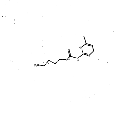 CC1=CCN=C(NC(=O)NCCCCN)N1